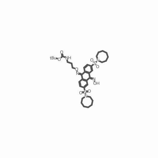 CC(C)(C)OC(=O)NCCCON=C1c2ccc(S(=O)(=O)N3CCCCCCC3)cc2C(=NO)c2cc(S(=O)(=O)N3CCCCCCC3)ccc21